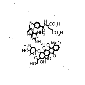 CN(Cc1cnc2nc(N)nc(N)c2n1)c1ccc(C(=O)NC(CCC(=O)O)C(=O)O)cc1.COc1cccc2c1C(=O)c1c(O)c3c(c(O)c1C2=O)C[C@@](O)(C(=O)CO)C[C@@H]3O[C@H]1C[C@H](N)[C@H](O)[C@H](C)O1